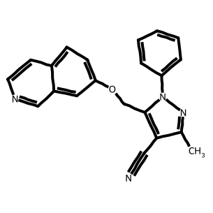 Cc1nn(-c2ccccc2)c(COc2ccc3ccncc3c2)c1C#N